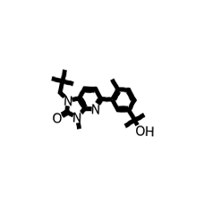 Cc1ccc(C(C)(C)O)cc1-c1ccc2c(n1)n(C)c(=O)n2CC(C)(C)C